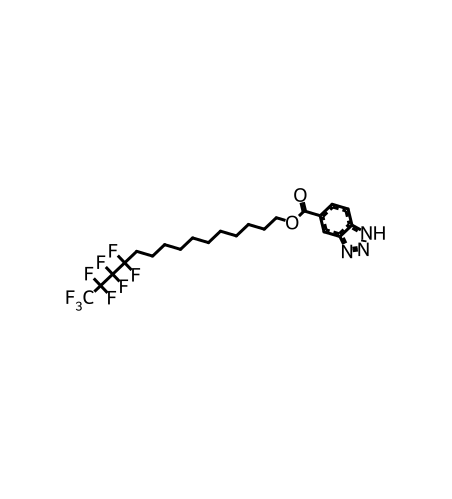 O=C(OCCCCCCCCCCCC(F)(F)C(F)(F)C(F)(F)C(F)(F)F)c1ccc2[nH]nnc2c1